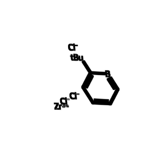 CC(C)(C)c1bcccc1.[Cl-].[Cl-].[Cl-].[Zr+3]